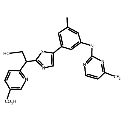 Cc1cc(Nc2nccc(C(F)(F)F)n2)cc(-c2cnc(C(CO)c3ccc(C(=O)O)cn3)s2)c1